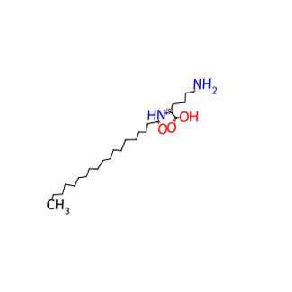 CCCCCCCCCCCCCCCCCCC(=O)N[C@@H](CCCCN)C(=O)O